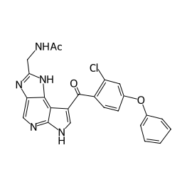 CC(=O)NCc1nc2cnc3[nH]cc(C(=O)c4ccc(Oc5ccccc5)cc4Cl)c3c2[nH]1